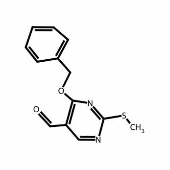 CSc1ncc(C=O)c(OCc2ccccc2)n1